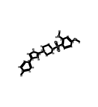 COc1ccc(S(=O)(=O)N2CCN(c3nc(-c4ccc(C)cc4)cs3)CC2)c(OC)c1